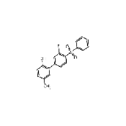 Cc1ccc(O)c(-c2ccc(S(=O)(=O)c3ccccc3)c(F)c2)c1